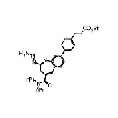 CCCN(CCC)C(=O)C1=Cc2ccc(C3=CC=C(CCC(=O)OCC)CC3)cc2N=C(N=NN)C1